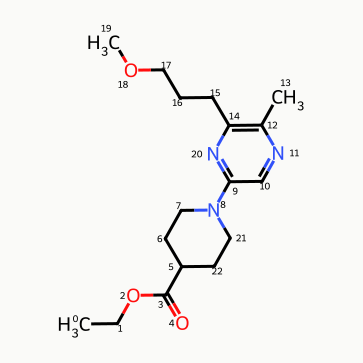 CCOC(=O)C1CCN(c2cnc(C)c(CCCOC)n2)CC1